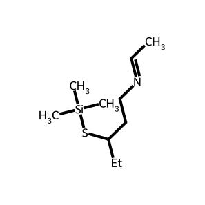 CC=NCCC(CC)S[Si](C)(C)C